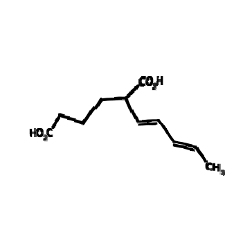 CC=CC=CC(CCCC(=O)O)C(=O)O